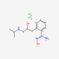 CC(C)NCC(O)Cc1ccccc1C(N)=NO.Cl.Cl